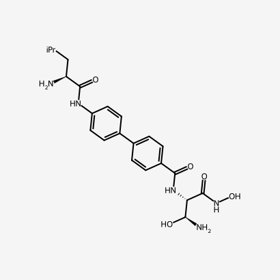 CC(C)C[C@H](N)C(=O)Nc1ccc(-c2ccc(C(=O)N[C@H](C(=O)NO)[C@@H](N)O)cc2)cc1